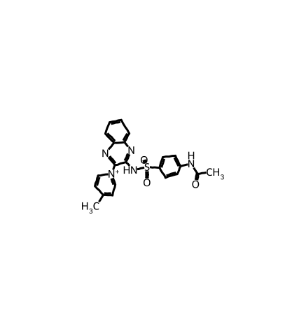 CC(=O)Nc1ccc(S(=O)(=O)Nc2nc3ccccc3nc2-[n+]2ccc(C)cc2)cc1